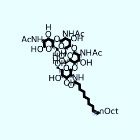 CCCCCCCC/C=C\CCCCCCCC(=O)N[C@H]1C(O)[C@H](O)[C@@H](CO)O[C@H]1O[C@H]1C(O)[C@@H](NC(C)=O)[C@H](O[C@H]2C(O)[C@H](NC(C)=O)[C@H](O[C@H]3C(O)[C@@H](NC(C)=O)C(O)O[C@@H]3CO)O[C@@H]2CO)O[C@@H]1CO